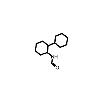 O=CNC1CCCCC1C1CCCCC1